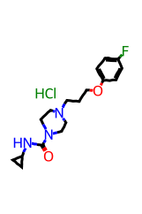 Cl.O=C(NC1CC1)N1CCN(CCCOc2ccc(F)cc2)CC1